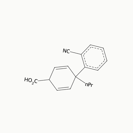 CCCC1(c2ccccc2C#N)C=CC(C(=O)O)C=C1